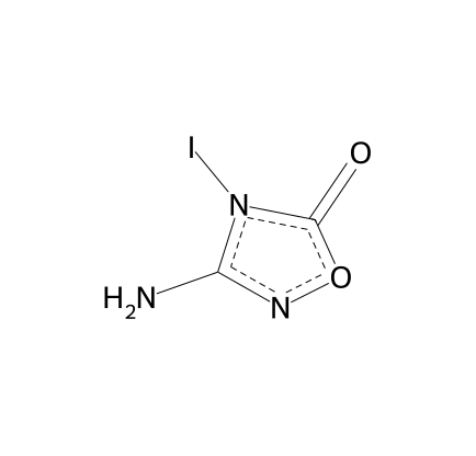 Nc1noc(=O)n1I